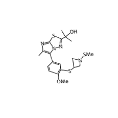 COc1ccc(-c2c(C)nc3sc(C(C)(C)O)nn23)cc1SC1CN(SC)C1